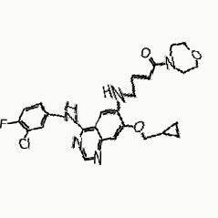 O=C(C=CCNc1cc2c(Nc3ccc(F)c(Cl)c3)ncnc2cc1OCC1CC1)N1CCOCC1